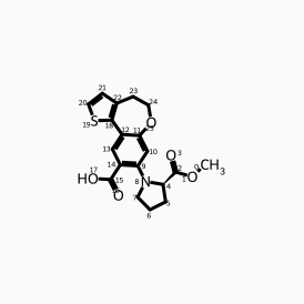 COC(=O)[C@H]1CCCN1c1cc2c(cc1C(=O)O)-c1sccc1CCO2